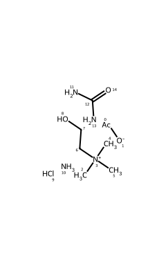 CC(=O)[O-].C[N+](C)(C)CCO.Cl.N.NC(N)=O